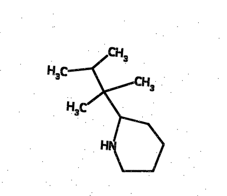 CC(C)C(C)(C)C1CCCCN1